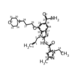 C=CCn1c(NC(=O)c2cc(C)nn2CC)nc2cc(C(N)=O)cc(OCCCN3CCOCC3)c21